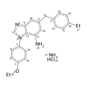 CCOc1ccc(-n2cnc3cc(Cc4ccc(CC)cc4)cc(N)c32)cc1.Cl.N